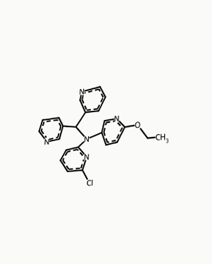 CCOc1ccc(N(c2cccc(Cl)n2)C(c2cccnc2)c2cccnc2)cn1